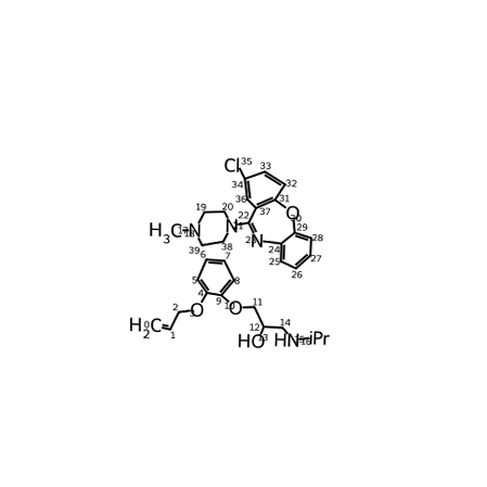 C=CCOc1ccccc1OCC(O)CNC(C)C.CN1CCN(C2=Nc3ccccc3Oc3ccc(Cl)cc32)CC1